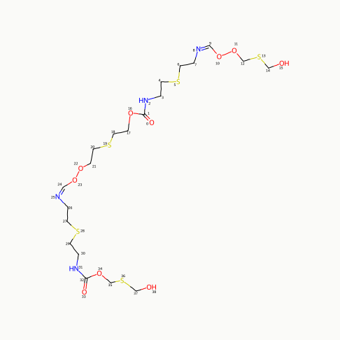 O=C(NCCSCC/N=C\OOCSCO)OCCSCCOO/C=N\CCSCCNC(=O)OCSCO